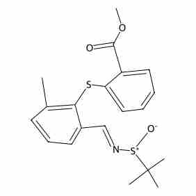 COC(=O)c1ccccc1Sc1c(C)cccc1/C=N/[S+]([O-])C(C)(C)C